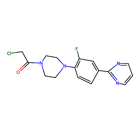 O=C(CCl)N1CCN(c2ccc(-c3ncccn3)cc2F)CC1